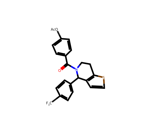 CC(=O)Oc1ccc(C(=O)N2CCc3sccc3C2c2ccc(C(F)(F)F)cc2)cc1